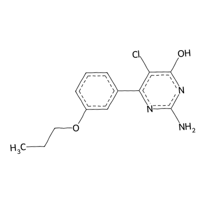 CCCOc1cccc(-c2nc(N)nc(O)c2Cl)c1